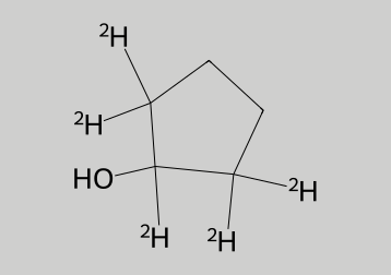 [2H]C1([2H])CCC([2H])([2H])C1([2H])O